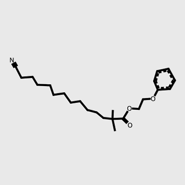 CC(C)(CCCCCCCCCCCC#N)C(=O)OCCOc1ccccc1